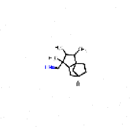 CC1C(C)[C@@]23CC[C@@H](CC2C1(C)C=N)C3